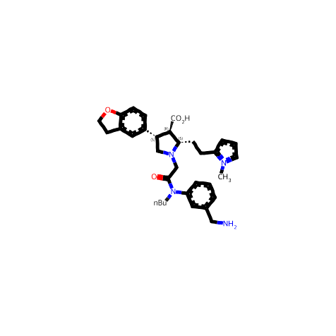 CCCCN(C(=O)CN1C[C@H](c2ccc3c(c2)CCO3)[C@@H](C(=O)O)[C@@H]1CCc1cccn1C)c1cccc(CN)c1